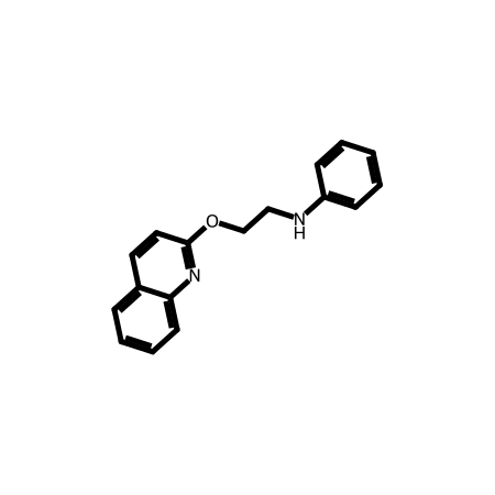 c1ccc(NCCOc2ccc3ccccc3n2)cc1